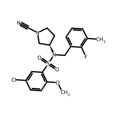 COc1ccc(Cl)cc1S(=O)(=O)N(Cc1cccc(C)c1F)[C@@H]1CCN(C#N)C1